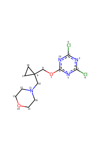 Clc1nc(Cl)nc(OCC2(CN3CCOCC3)CC2)n1